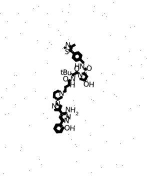 Cc1ncsc1-c1ccc(CNC(=O)[C@@H]2C[C@@H](O)CN2C(=O)[C@@H](NC(=O)CCCN2CCCC(n3cc(-c4cc(-c5ccccc5O)nnc4N)cn3)C2)C(C)(C)C)cc1